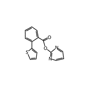 O=C(Oc1ncccn1)c1ccccc1-c1cccs1